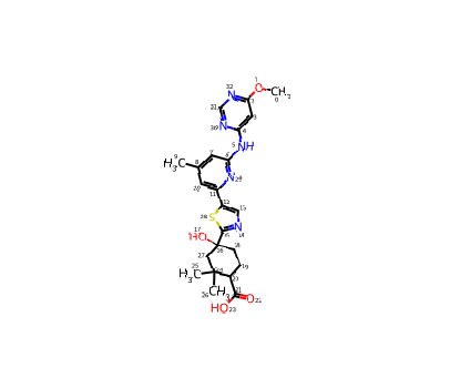 COc1cc(Nc2cc(C)cc(-c3cnc(C4(O)CCC(C(=O)O)C(C)(C)C4)s3)n2)ncn1